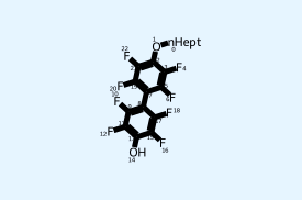 CCCCCCCOc1c(F)c(F)c(-c2c(F)c(F)c(O)c(F)c2F)c(F)c1F